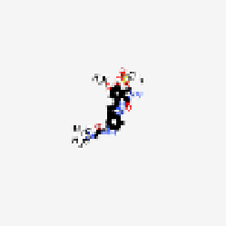 COc1cc(-c2cc3cc(NC(=O)CN(C)C)ccc3[nH]2)c2c(c1OS(C)(=O)=O)CNC2=O